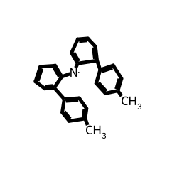 Cc1ccc(-c2ccccc2[N]c2ccccc2-c2ccc(C)cc2)cc1